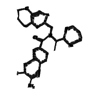 CC(c1ncccn1)N(Cc1cc2c(cn1)OCCC2)C(=O)c1ccc2nc(N)c(I)cc2c1